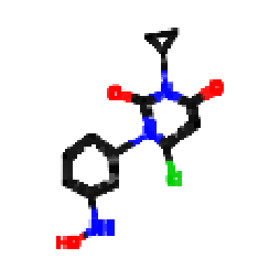 O=c1cc(Cl)n(-c2cccc(NO)c2)c(=O)n1C1CC1